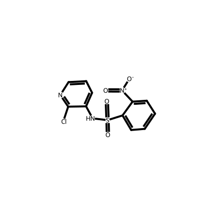 O=[N+]([O-])c1ccccc1S(=O)(=O)Nc1cccnc1Cl